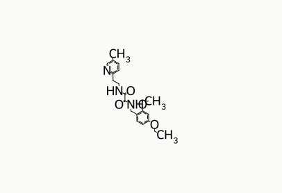 CCOc1ccc(CNC(=O)C(=O)NCCc2ccc(C)cn2)c(OC)c1